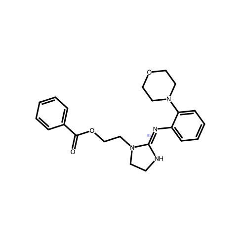 O=C(OCCN1CCN/C1=N\c1ccccc1N1CCOCC1)c1ccccc1